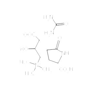 C[N+](C)(C)CC(O)CC(=O)[O-].NC(N)=O.O=C1CC[C@@H](C(=O)O)N1